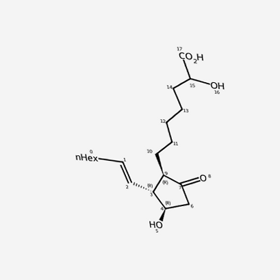 CCCCCCC=C[C@H]1[C@H](O)CC(=O)[C@@H]1CCCCCC(O)C(=O)O